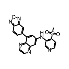 CS(=O)(=O)c1ccncc1Nc1cc(-c2ccc3nonc3c2)c2nccnc2c1